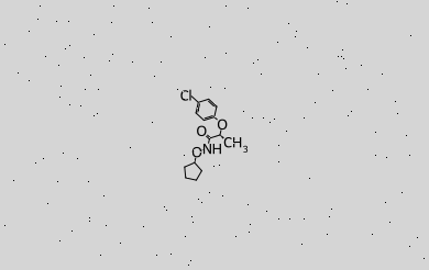 C[C@H](Oc1ccc(Cl)cc1)C(=O)NOC1CCCC1